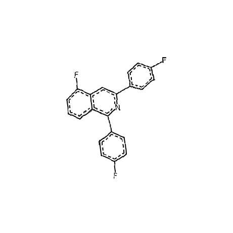 Fc1ccc(-c2cc3c(F)cccc3c(-c3ccc(F)cc3)n2)cc1